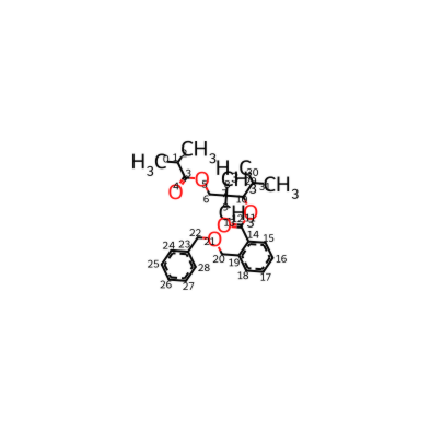 CC(C)C(=O)OCC(C)(C)C(OC(=O)c1ccccc1COCc1ccccc1)C(C)C